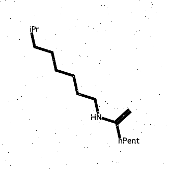 C=C(CCCCC)NCCCCCCC(C)C